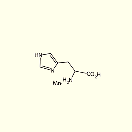 NC(Cc1c[nH]cn1)C(=O)O.[Mn]